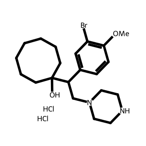 COc1ccc(C(CN2CCNCC2)C2(O)CCCCCCC2)cc1Br.Cl.Cl